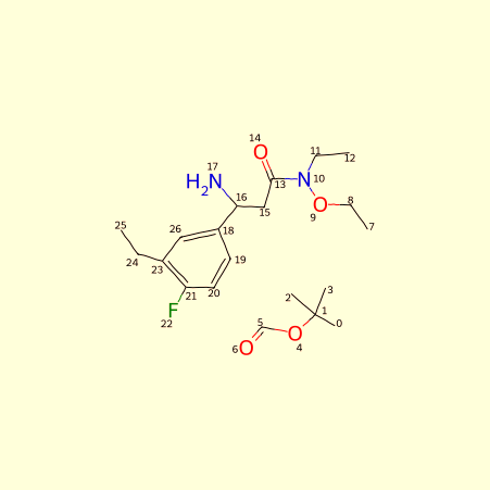 CC(C)(C)OC=O.CCON(CC)C(=O)CC(N)c1ccc(F)c(CC)c1